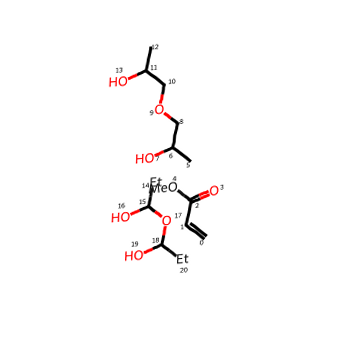 C=CC(=O)OC.CC(O)COCC(C)O.CCC(O)OC(O)CC